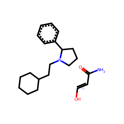 NC(=O)/C=C/O.c1ccc(C2CCCN2CCC2CCCCC2)cc1